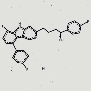 I.OC(CCCc1cc2[nH]c3c(F)ccc(-c4ccc(F)cc4)c3c2cn1)c1ccc(F)cc1